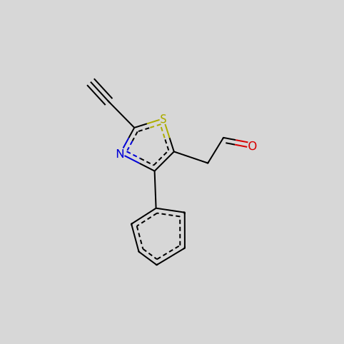 C#Cc1nc(-c2ccccc2)c(CC=O)s1